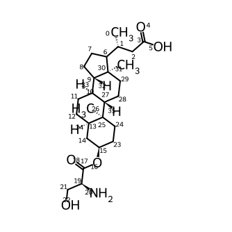 C[C@H](CC(=O)O)C1CC[C@H]2[C@@H]3CC[C@@H]4C[C@H](OC(=O)[C@@H](N)CO)CC[C@]4(C)[C@H]3CC[C@]12C